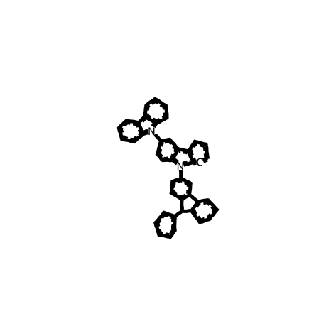 c1ccc(C2c3ccccc3-c3cc(-n4c5ccccc5c5cc(-n6c7ccccc7c7ccccc76)ccc54)ccc32)cc1